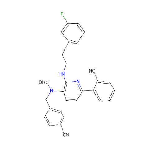 N#Cc1ccc(CN(C=O)c2ccc(-c3ccccc3C#N)nc2NCCc2cccc(F)c2)cc1